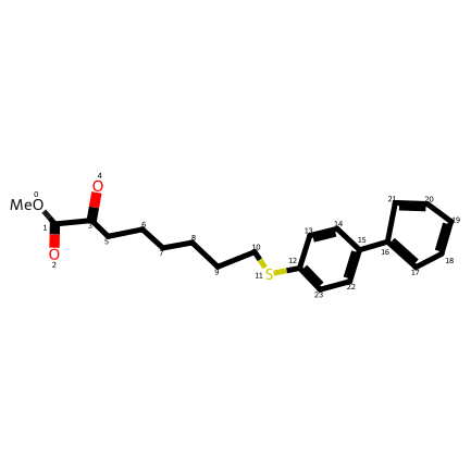 COC(=O)C(=O)CCCCCCSc1ccc(-c2ccccc2)cc1